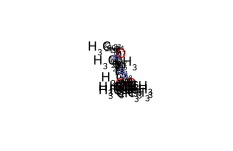 C=C1/C(=C\C=C2/CCC[C@]3(C)[C@@H]([C@H](C)/C=C/C(=O)C4(C=CCC)CC4)CC[C@@H]23)C[C@@H](O[Si](C)(C)C(C)(C)C)C[C@@H]1O[Si](C)(C)C(C)(C)C